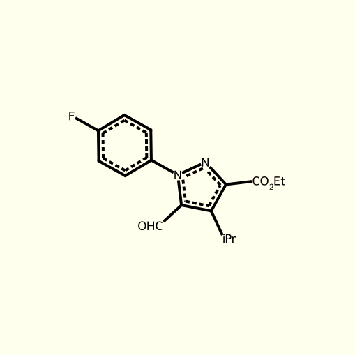 CCOC(=O)c1nn(-c2ccc(F)cc2)c(C=O)c1C(C)C